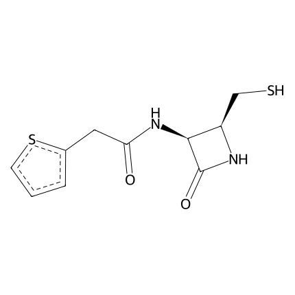 O=C(Cc1cccs1)N[C@@H]1C(=O)N[C@@H]1CS